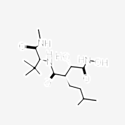 CNC(=O)[C@@H](NC(=O)[C@H](CCC(C)C)[C@H](O)C(=O)NO)C(C)(C)C